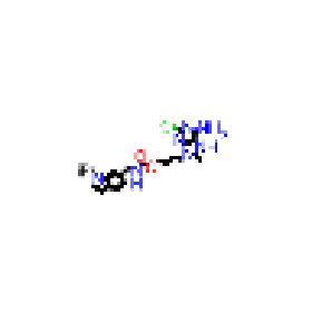 CC1Nc2c(N)nc(Cl)nc2N1CCCCOC(=O)NCc1ccc2ccn(C(C)C)c2c1